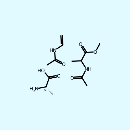 C=CNC(C)=O.COC(=O)C(C)NC(C)=O.C[C@H](N)C(=O)O